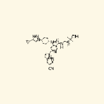 CC(C)(O)[C@H](F)CNC(=O)c1cnc(-c2ccc3cc(C#N)cnn23)cc1N[C@H]1CC[C@H](n2cc(C3CC3)nn2)CC1